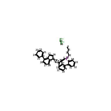 CCCCP1C2=Cc3c(cccc3[CH]2[Zr+2][CH]2C=Cc3c(-c4ccccc4)cccc32)-c2ccccc21.[F-].[F-]